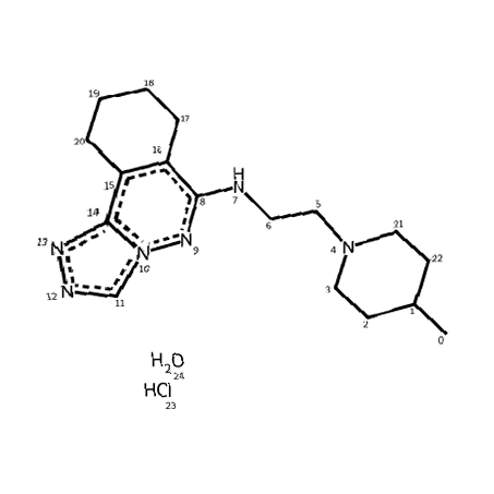 CC1CCN(CCNc2nn3cnnc3c3c2CCCC3)CC1.Cl.O